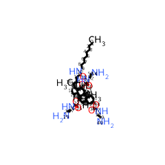 CCCCCCCCCCNC(=O)CC[C@@H](C)[C@H]1CC[C@H]2[C@@H]3[C@H](OC(=O)NCCN)C[C@@H]4C[C@H](OC(=O)NCCN)CC[C@]4(C)[C@H]3C[C@H](OC(=O)NCCN)[C@]12C